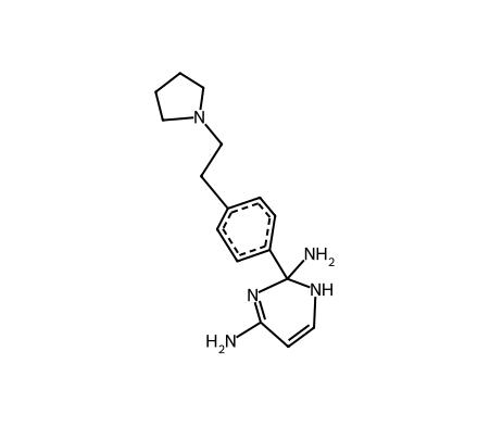 NC1=NC(N)(c2ccc(CCN3CCCC3)cc2)NC=C1